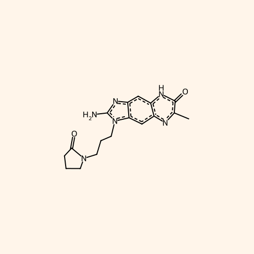 Cc1nc2cc3c(cc2[nH]c1=O)nc(N)n3CCCN1CCCC1=O